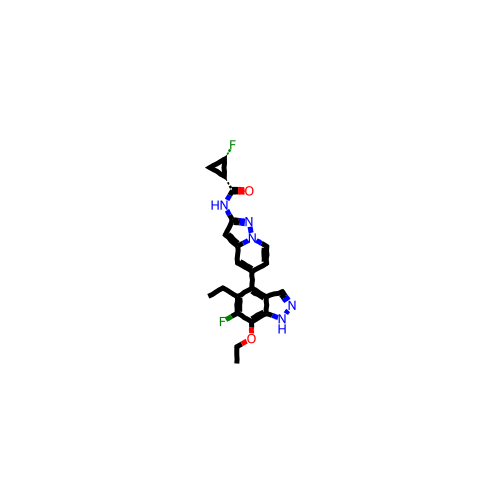 CCOc1c(F)c(CC)c(-c2ccn3nc(NC(=O)[C@@H]4C[C@@H]4F)cc3c2)c2cn[nH]c12